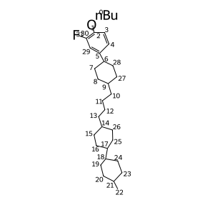 CCCCOc1ccc(C2CCC(CCCCC3CCC(C4CCC(C)CC4)CC3)CC2)cc1F